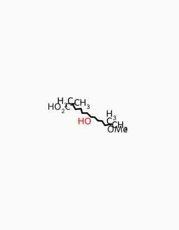 COC(C)(C)CCCCC(O)CCCCC(C)(C)C(=O)O